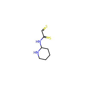 S=CC(=S)NC1CCCCN1